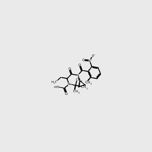 CCC(C(=O)N(C(=O)c1c(C)cccc1[N+](=O)[O-])C1CC1)N(C(=O)O)C(C)(C)C